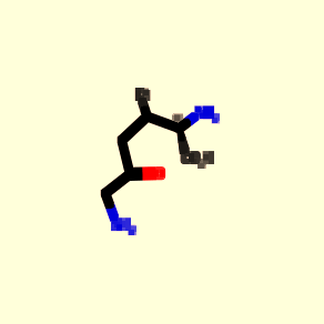 CCC(CC(=O)CN)[C@@H](N)C(=O)O